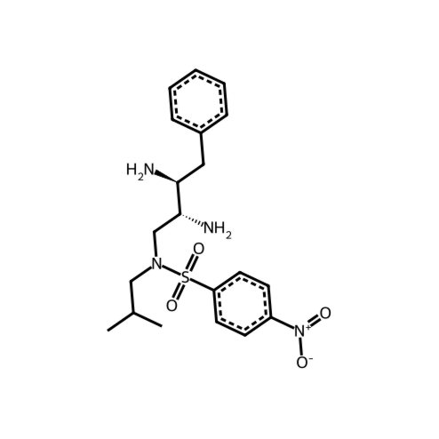 CC(C)CN(C[C@@H](N)[C@@H](N)Cc1ccccc1)S(=O)(=O)c1ccc([N+](=O)[O-])cc1